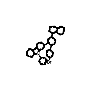 Brc1ccc(-c2ccc(-c3cccc4ccccc34)cc2-c2ccc3c4ccccc4n(-c4ccccc4)c3c2)cc1